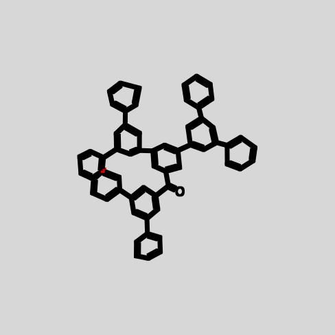 O=C(c1cc(-c2ccccc2)cc(-c2ccccc2)c1)c1cc(-c2cc(-c3ccccc3)cc(-c3ccccc3)c2)cc(-c2cc(-c3ccccc3)cc(-c3ccccc3)c2)c1